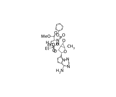 CCC(=O)O[C@H]1[C@H](c2ccc3c(N)ncnn23)O[C@]2(C)C(O[P@@](=O)(N[C@@H](C)C(=O)OC)Oc3ccccc3)[C@]12OC(=O)CC